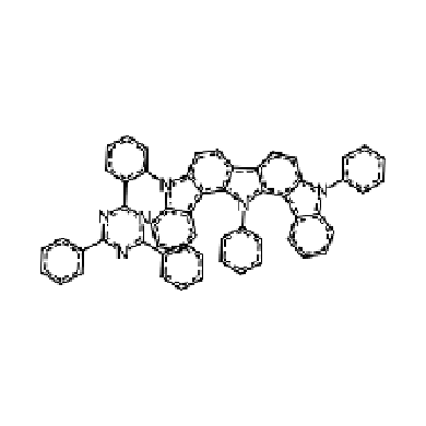 c1ccc(-c2nc(-c3ccccc3)nc(-c3ccccc3-n3c4ccccc4c4c3ccc3c5ccc6c(c7ccccc7n6-c6ccccc6)c5n(-c5ccccc5)c34)n2)cc1